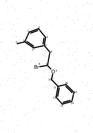 Cc1cccc(CC(Br)OCc2ccccc2)c1